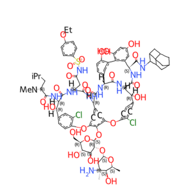 CCOc1ccc(S(=O)(=O)NC(=O)C[C@@H]2NC(=O)[C@H](NC(=O)[C@@H](CC(C)C)NC)[C@H](O)c3ccc(c(Cl)c3)Oc3cc4cc(c3O[C@@H]3O[C@H](CO)[C@@H](O)[C@H](O)[C@H]3O[C@H]3C[C@](C)(N)[C@H](O)[C@H](C)O3)Oc3ccc(cc3Cl)[C@@H](O)[C@@H]3NC(=O)[C@H](NC(=O)[C@@H]4NC2=O)c2ccc(O)c(c2)-c2c(O)cc(O)cc2[C@@H](C(=O)NC2C4CC5CC(C4)CC2C5)NC3=O)cc1